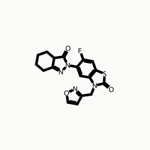 O=C1C2CCCCC2=NN1c1cc2c(cc1F)sc(=O)n2Cc1ccon1